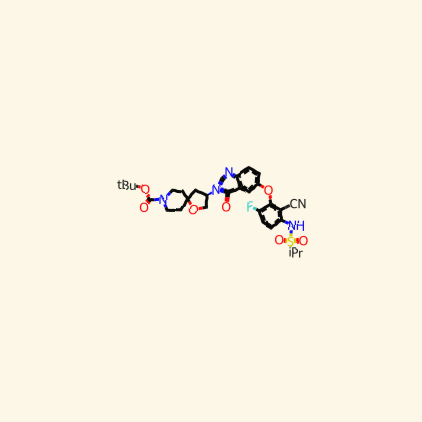 CC(C)S(=O)(=O)Nc1ccc(F)c(Oc2ccc3ncn([C@H]4COC5(CCN(C(=O)OC(C)(C)C)CC5)C4)c(=O)c3c2)c1C#N